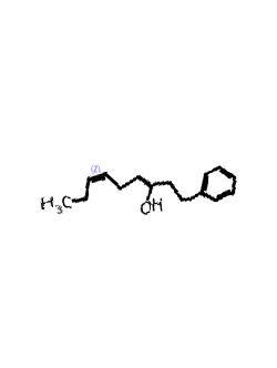 CC/C=C\CCC(O)CCc1ccccc1